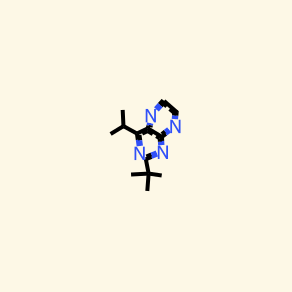 CC(C)c1nc(C(C)(C)C)nc2nccnc12